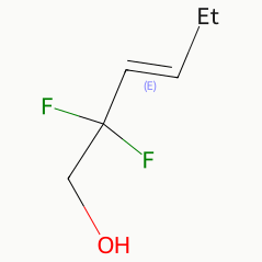 CC/C=C/C(F)(F)CO